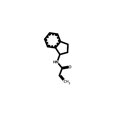 C=CC(=O)NC1CCc2ccccc21